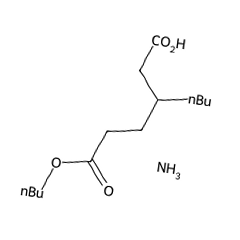 CCCCOC(=O)CCC(CCCC)CC(=O)O.N